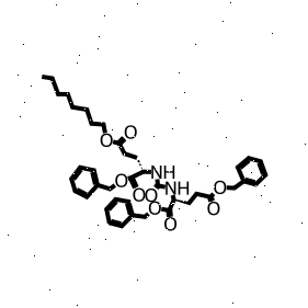 CCCCCCCCOC(=O)CC[C@H](NC(=O)N[C@@H](CCC(=O)OCc1ccccc1)C(=O)OCc1ccccc1)C(=O)OCc1ccccc1